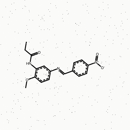 CCC(=O)Nc1cc(N=Cc2ccc([N+](=O)[O-])cc2)ccc1OC